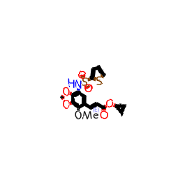 COc1c(/C=C/C(=O)OC2CC2)cc(NS(=O)(=O)c2cccs2)c2c1OCO2